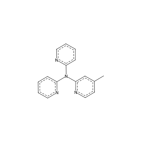 Cc1ccnc(N(c2ccccn2)c2ccccn2)c1